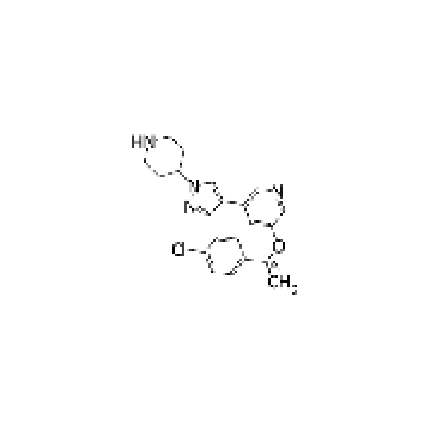 C[C@H](Oc1cncc(-c2cnn(C3CCNCC3)c2)c1)c1ccc(Cl)cc1